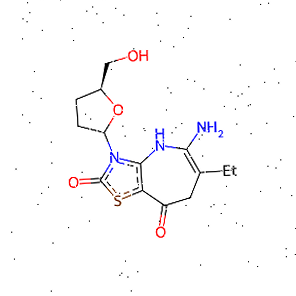 CCC1=C(N)Nc2c(sc(=O)n2C2CC[C@@H](CO)O2)C(=O)C1